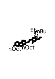 C/C=C/c1cc(C)c(/C=C/c2ccc3c(c2)C(CCCCCCCC)(CCCCCCCC)c2cc(C)ccc2-3)cc1OCC(CC)CCCC